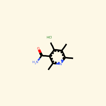 Cc1nc(C)c(C(N)=O)c(C)c1C.Cl